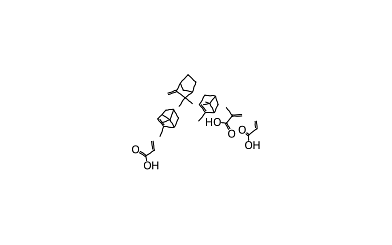 C=C(C)C(=O)O.C=C1C2CCC(C2)C1(C)C.C=CC(=O)O.C=CC(=O)O.CC1=CCC2CC1C2(C)C.CC1=CCC2CC1C2(C)C